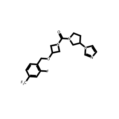 O=C(N1CC(OCc2ccc(C(F)(F)F)cc2F)C1)N1CCC(n2ccnc2)C1